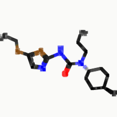 CC(C)CCN(C(=O)Nc1ncc(SCC(=O)O)s1)[C@H]1CC[C@H](C(C)C)CC1